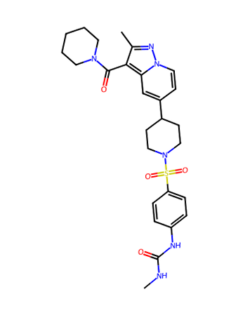 CNC(=O)Nc1ccc(S(=O)(=O)N2CCC(c3ccn4nc(C)c(C(=O)N5CCCCC5)c4c3)CC2)cc1